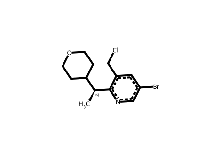 C[C@H](c1ncc(Br)cc1CCl)C1CCOCC1